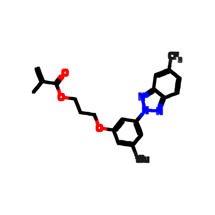 C=C(C)C(=O)OCCCOc1cc(-n2nc3ccc(C(F)(F)F)cc3n2)cc(C(C)(C)C)c1